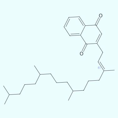 C/C(=C\CC1=CC(=O)c2ccccc2C1=O)CCCC(C)CCCC(C)CCCC(C)C